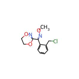 CO/N=C(\C1=NOCCO1)c1ccccc1CCl